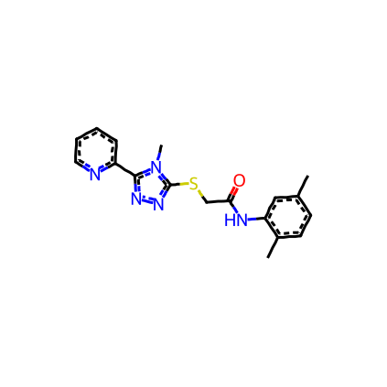 Cc1ccc(C)c(NC(=O)CSc2nnc(-c3ccccn3)n2C)c1